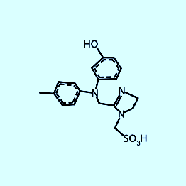 Cc1ccc(N(CC2=NCCN2CS(=O)(=O)O)c2cccc(O)c2)cc1